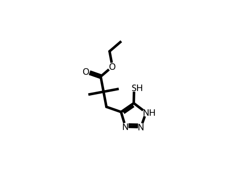 CCOC(=O)C(C)(C)Cc1nn[nH]c1S